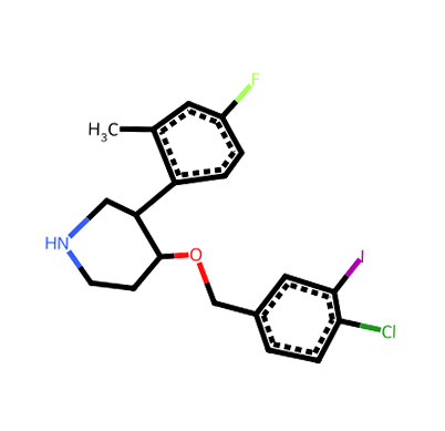 Cc1cc(F)ccc1C1CNCCC1OCc1ccc(Cl)c(I)c1